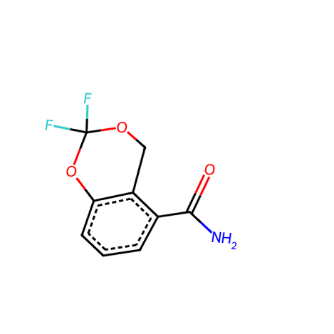 NC(=O)c1cccc2c1COC(F)(F)O2